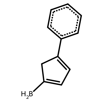 BC1=CC=C(c2ccccc2)C1